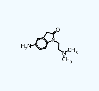 CN(C)CCN1C(=O)Cc2cc(N)ccc21